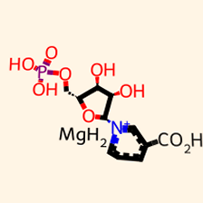 O=C(O)c1ccc[n+]([C@@H]2O[C@H](COP(=O)(O)O)[C@@H](O)[C@H]2O)c1.[MgH2]